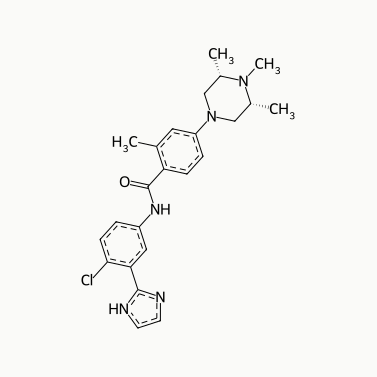 Cc1cc(N2C[C@@H](C)N(C)[C@@H](C)C2)ccc1C(=O)Nc1ccc(Cl)c(-c2ncc[nH]2)c1